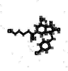 N=S(CCCCCl)c1nc(N)c2[nH]c(=O)n(Cc3ccc(Cl)cc3)c2n1